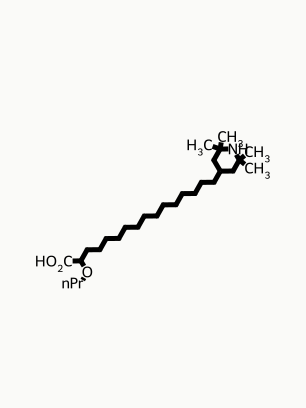 CCCOC(CCCCCCCCCCCCCCC1CC(C)(C)NC(C)(C)C1)C(=O)O